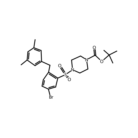 Cc1cc(C)cc(Cc2ccc(Br)cc2S(=O)(=O)N2CCN(C(=O)OC(C)(C)C)CC2)c1